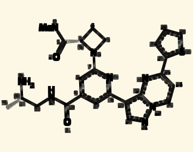 CNC(=O)[C@@H]1CCN1c1cc(C(=O)NC[C@H](C)N)cc(-c2cnn3ccc(-c4cccs4)nc23)n1